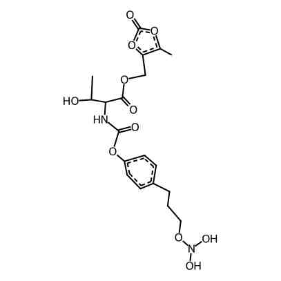 Cc1oc(=O)oc1COC(=O)C(NC(=O)Oc1ccc(CCCON(O)O)cc1)C(C)O